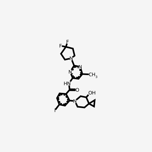 Cc1cc(NC(=O)c2ccc(I)cc2N2CCC3(CC3)C(O)C2)nc(N2CCC(F)(F)CC2)n1